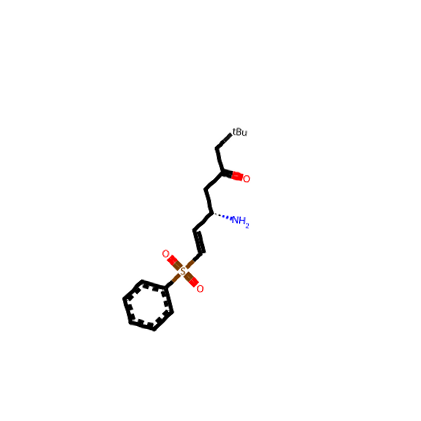 CC(C)(C)CC(=O)C[C@H](N)/C=C/S(=O)(=O)c1ccccc1